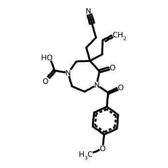 C=CCC1(CCC#N)CN(C(=O)O)CCN(C(=O)c2ccc(OC)cc2)C1=O